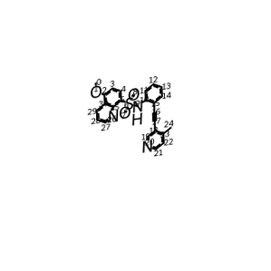 COc1ccc(S(=O)(=O)Nc2ccccc2C#Cc2cnccc2C)c2ncccc12